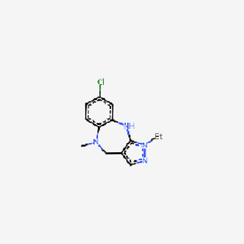 CCn1ncc2c1Nc1cc(Cl)ccc1N(C)C2